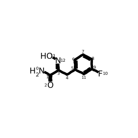 NC(=O)C(Cc1cccc(F)c1)=NO